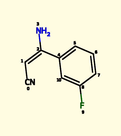 N#C/C=C(/N)c1cccc(F)c1